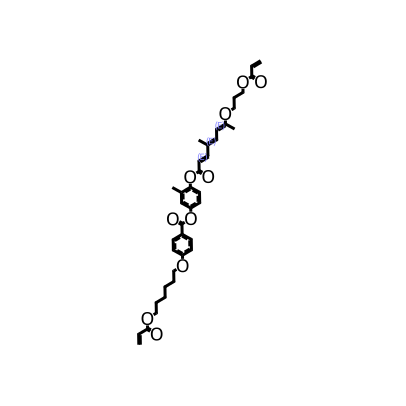 C=CC(=O)OCCCCCCOc1ccc(C(=O)Oc2ccc(OC(=O)/C=C/C(C)=C/C=C(\C)OCCCOC(=O)C=C)c(C)c2)cc1